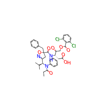 CCC(=O)N(c1ccccc1)[C@H](C1=NOC(Cc2ccccc2)(C(=O)N[C@@H](CC(=O)O)C(=O)COC(=O)c2c(Cl)cccc2Cl)C1)C(C)C